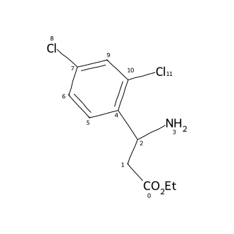 CCOC(=O)CC(N)c1ccc(Cl)cc1Cl